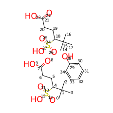 CC(C)(C)C(CCC(=O)O)S(=O)(=O)O.CC(C)(C)C(CCC(=O)O)S(=O)(=O)O.Oc1ccccc1